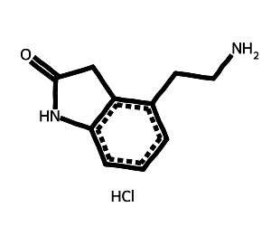 Cl.NCCc1cccc2c1CC(=O)N2